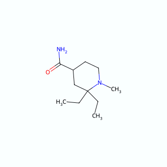 CCC1(CC)CC(C(N)=O)CCN1C